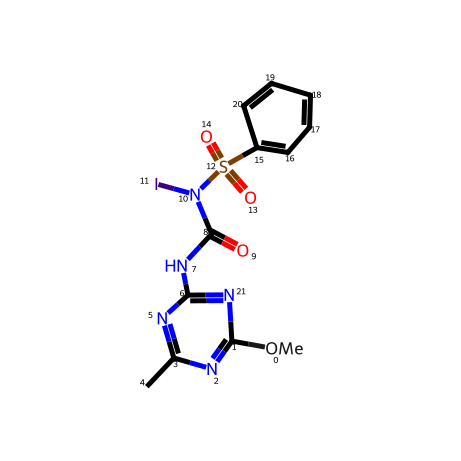 COc1nc(C)nc(NC(=O)N(I)S(=O)(=O)c2ccccc2)n1